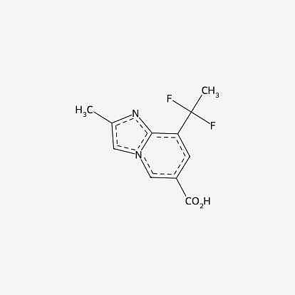 Cc1cn2cc(C(=O)O)cc(C(C)(F)F)c2n1